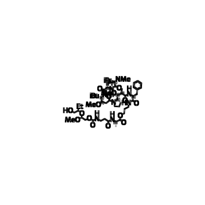 CCC(CO)OC(COC(=O)NCCC(=O)N[C@@H](C)C(=O)OCCCNC(=O)[C@H](Cc1ccccc1)NC(=O)[C@H](C)[C@@H](OC)[C@@H]1CCCN1C(=O)C[C@@H](OC)[C@@H](NC(=O)[C@@H](NC(=O)[C@@H](NC)C(C)C)C(C)C)[C@@H](C)CC)OC